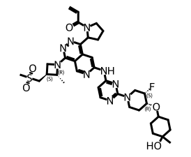 C=CC(=O)N1CCCC1c1nnc(N2C[C@H](CS(C)(=O)=O)[C@H]2C)c2cnc(Nc3ccnc(N4CC[C@@H](OC5CCC(C)(O)CC5)[C@@H](F)C4)n3)cc12